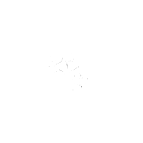 C/C=C(/CC(O)(CO)C(F)(F)F)c1ccc(C(C)C)cc1OC